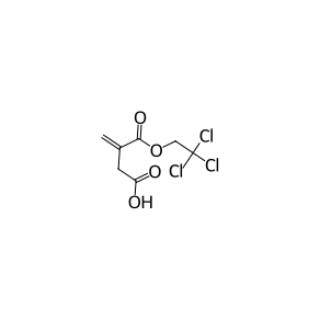 C=C(CC(=O)O)C(=O)OCC(Cl)(Cl)Cl